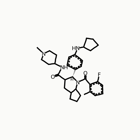 Cc1cccc(F)c1C(=O)N1C2CCCC2CC(C(=O)NC2CCN(C)CC2)[C@@H]1c1ccc(NC2CCCC2)cc1